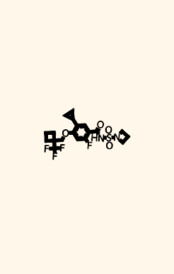 O=C(NS(=O)(=O)N1CCC1)c1cc(C2CC2)c(OCC2(C(F)(F)F)CCC2)cc1F